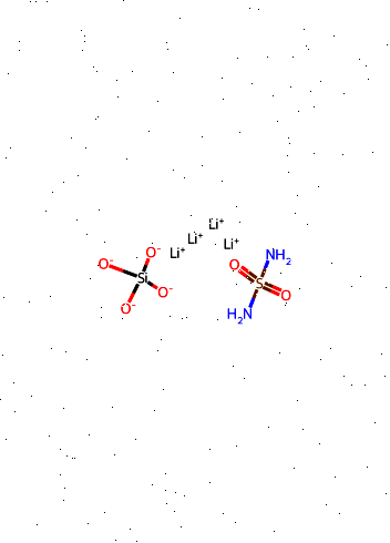 NS(N)(=O)=O.[Li+].[Li+].[Li+].[Li+].[O-][Si]([O-])([O-])[O-]